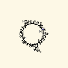 C=C1NC(=O)c2nc(oc2C)C(=C)NC(=O)C(C(C)(C)O)NC(=O)C(=C)NC(=O)c2nc(oc2C)/C(=C/C)NC(=O)C(C(C)O)NC(=O)c2csc(n2)-c2ccc(C(N)=O)nc2-c2coc(n2)C(=C)NC1=O